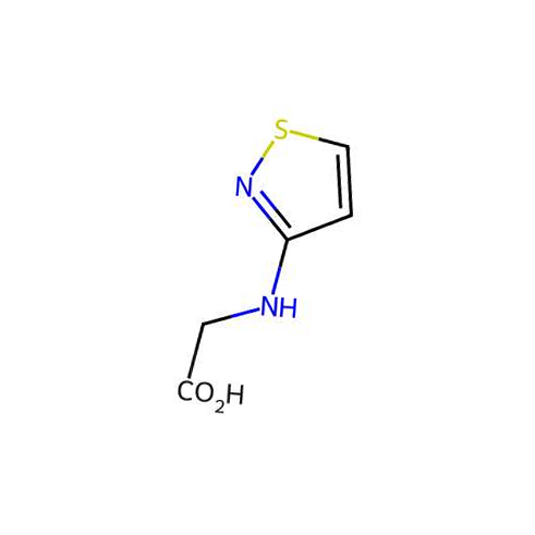 O=C(O)CNc1ccsn1